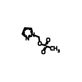 CS(=O)(=O)OCn1cccn1